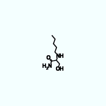 CCCCCNC(CO)C(N)=O